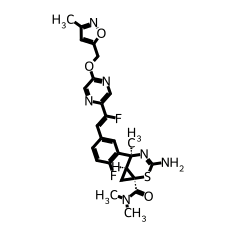 Cc1cc(COc2cnc(C(F)=Cc3ccc(F)c([C@@]4(C)N=C(N)S[C@@]5(C(=O)N(C)C)C[C@H]54)c3)cn2)on1